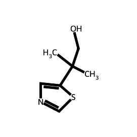 CC(C)(CO)c1cncs1